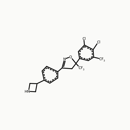 FC(F)(F)c1cc(C2(C(F)(F)F)CC(c3ccc(C4CNC4)cc3)=NO2)cc(Cl)c1Cl